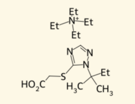 CCC(C)(C)n1ncnc1SCC(=O)O.CC[N+](CC)(CC)CC